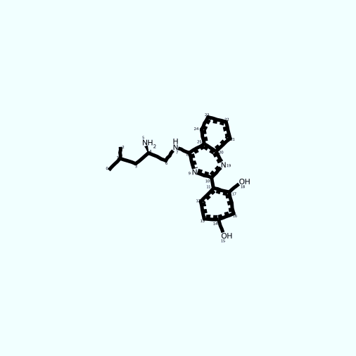 CC(C)C[C@@H](N)CNc1nc(-c2ccc(O)cc2O)nc2ccccc12